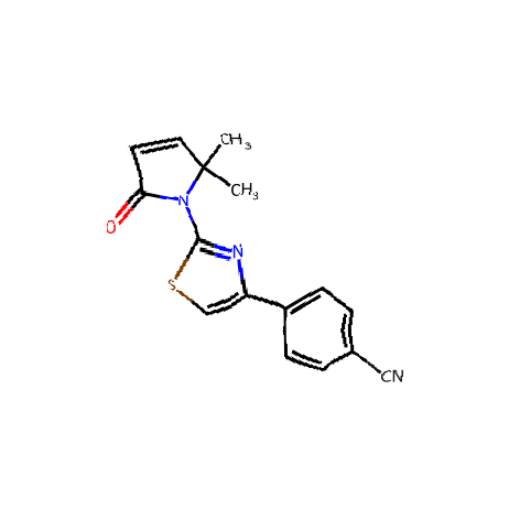 CC1(C)C=CC(=O)N1c1nc(-c2ccc(C#N)cc2)cs1